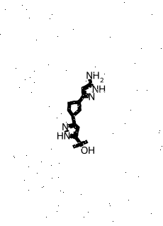 CC(C)(O)c1cc(C2CCC(c3cc(N)[nH]n3)C2)n[nH]1